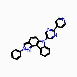 c1ccc(-n2cc3ccc4c(c5ccccc5n4-c4cnc(-c5ccncc5)nc4)c3n2)cc1